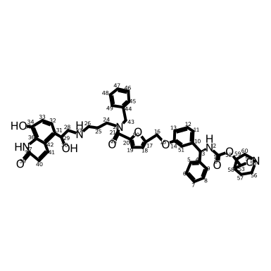 O=C(N[C@@H](c1ccccc1)c1cccc(OCc2ccc(C(=O)N(CCCNCC(O)c3ccc(O)c4[nH]c(=O)ccc34)Cc3ccccc3)o2)c1)OC1CN2CCC1CC2